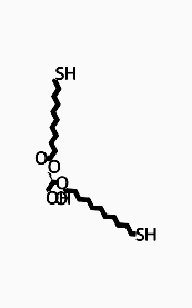 O=C(CCCCCCCCCCS)OC[C@@H](CO)OC(=O)CCCCCCCCCCS